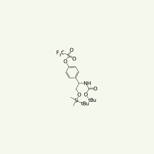 CC(C)(C)OC(=O)NC(CO[Si](C)(C)C(C)(C)C)c1ccc(OS(=O)(=O)C(F)(F)F)cc1